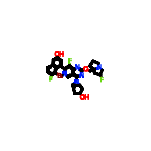 Oc1cc(-c2ncc3c(N4CC5CC(O)CC4C5)nc(OC[C@@]45CCCN4C[C@H](F)C5)nc3c2F)c2c(Br)c(F)ccc2c1